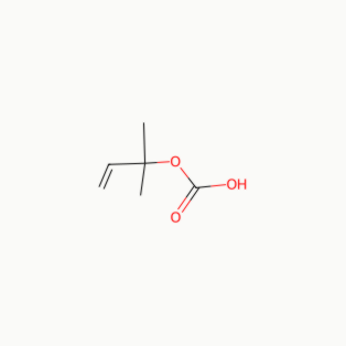 C=CC(C)(C)OC(=O)O